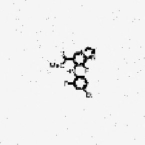 CCc1ccc(Nc2c(C(=O)OC)cn3ccnc3c2F)c(F)c1